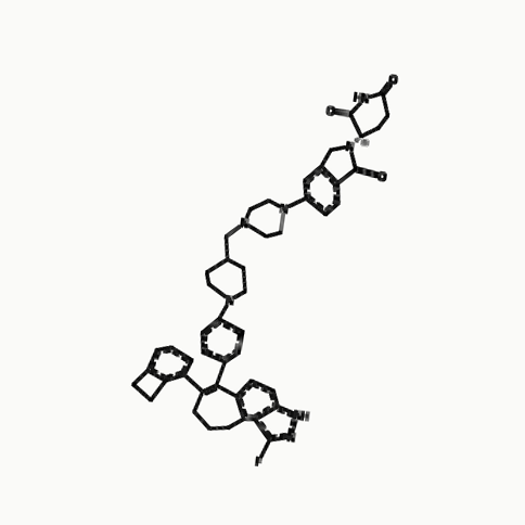 O=C1CC[C@H](N2Cc3cc(N4CCN(CC5CCN(c6ccc(C7=C(c8cccc9c8CC9)CCCc8c7ccc7[nH]nc(F)c87)cc6)CC5)CC4)ccc3C2=O)C(=O)N1